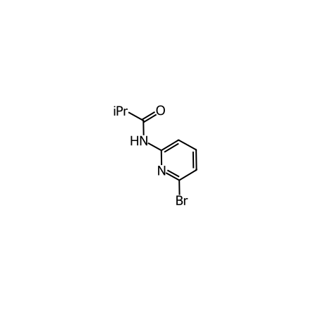 CC(C)C(=O)Nc1cccc(Br)n1